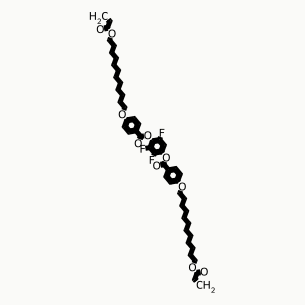 C=CC(=O)OCCCCCCCCCCCCOc1ccc(C(=O)Oc2cc(F)c(OC(=O)c3ccc(OCCCCCCCCCCCCOC(=O)C=C)cc3)c(F)c2F)cc1